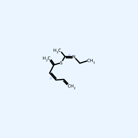 C=C/C=C\C(=C)S/C(C)=N\CC